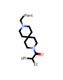 CCCC(C)CN1CCC2(CC1)CCN(C(=O)C(CC)CCC)CC2